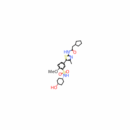 COc1ccc(-c2sc(NC(=O)CC3CCCC3)nc2C)cc1S(=O)(=O)N[C@H]1CC[C@H](O)CC1